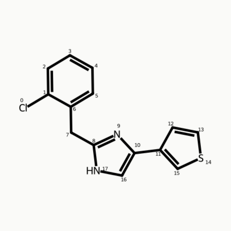 Clc1ccccc1Cc1nc(-c2ccsc2)c[nH]1